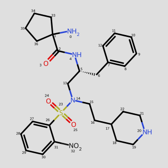 NC1(C(=O)N[C@H](Cc2ccccc2)CN(CCC2CCNCC2)S(=O)(=O)c2ccccc2[N+](=O)[O-])CCCC1